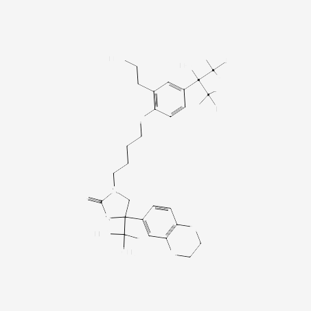 CCCc1cc(C(O)(C(F)(F)F)C(F)(F)F)ccc1OCCCCN1CC(c2ccc3c(c2)OCCO3)(C(C)(C)C)NC1=O